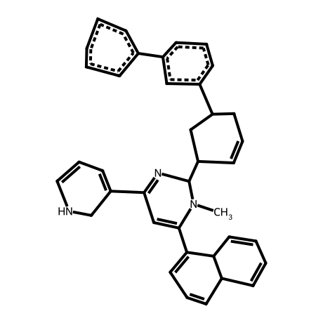 CN1C(C2=CC=CC3C=CC=CC23)=CC(C2=CC=CNC2)=NC1C1C=CCC(c2cccc(-c3ccccc3)c2)C1